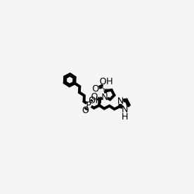 O=C(O)[C@@H]1CCCN1C(=O)C(CCCc1ncc[nH]1)CP(=O)(O)CCCCc1ccccc1